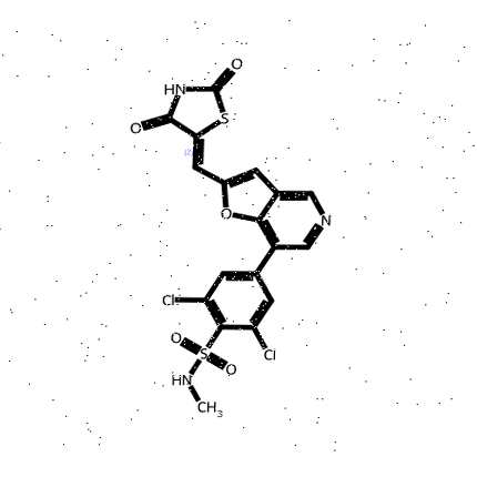 CNS(=O)(=O)c1c(Cl)cc(-c2cncc3cc(/C=C4\SC(=O)NC4=O)oc23)cc1Cl